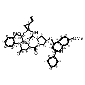 C=CC1CC1(NC(=O)[C@@H]1C[C@@H](Oc2cc(-c3ccccc3)nc3cc(OC)ccc23)CN1C(=O)C(CC(=O)N1CCCc2ccccc21)C(C)(C)C)C(=O)OCC